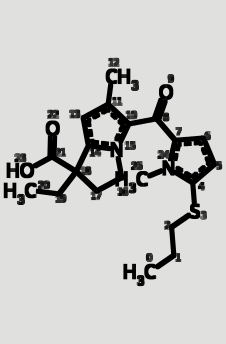 CCCSc1ccc(C(=O)c2c(C)cc3n2CCC3(CC)C(=O)O)n1C